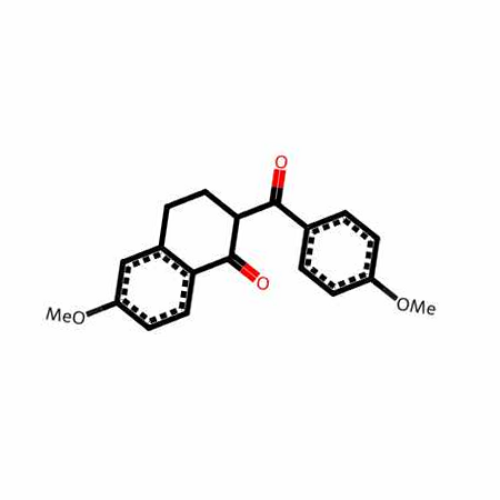 COc1ccc(C(=O)C2CCc3cc(OC)ccc3C2=O)cc1